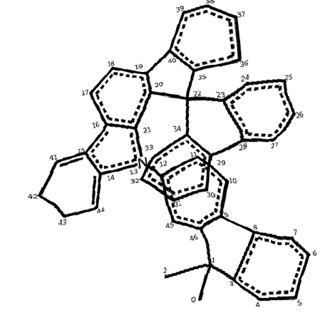 CC1(C)c2ccccc2-c2ccc(-n3c4c(c5ccc6c(c53)C3(c5ccccc5-c5ccccc53)c3ccccc3-6)=CCCC=4)cc21